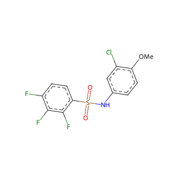 COc1ccc(NS(=O)(=O)c2ccc(F)c(F)c2F)cc1Cl